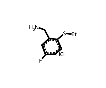 CCSc1ccc(F)cc1CN.Cl